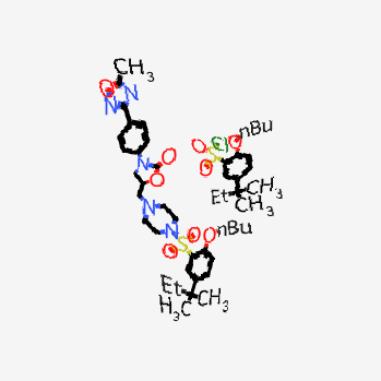 CCCCOc1ccc(C(C)(C)CC)cc1S(=O)(=O)Cl.CCCCOc1ccc(C(C)(C)CC)cc1S(=O)(=O)N1CCN(CC2CN(c3ccc(-c4noc(C)n4)cc3)C(=O)O2)CC1